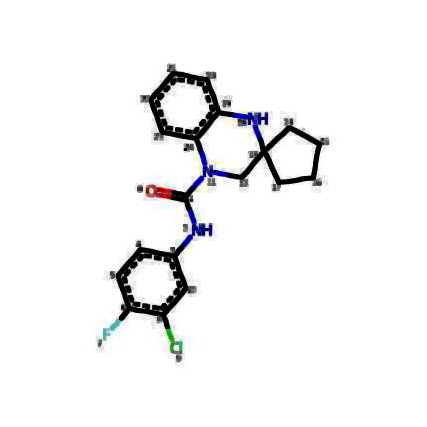 O=C(Nc1ccc(F)c(Cl)c1)N1CC2(CCCC2)Nc2ccccc21